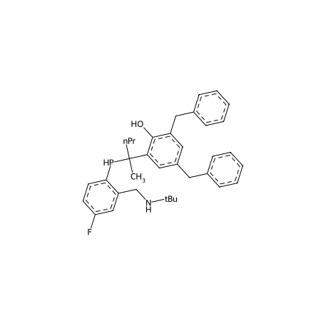 CCCC(C)(Pc1ccc(F)cc1CNC(C)(C)C)c1cc(Cc2ccccc2)cc(Cc2ccccc2)c1O